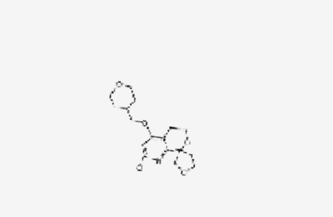 Clc1cc(OCC2CCOCC2)c2c(n1)C1(CCOC1)OCC2